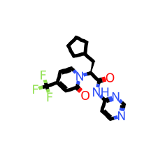 O=C(Nc1ccncn1)[C@H](CC1CCCC1)n1ccc(C(F)(F)F)cc1=O